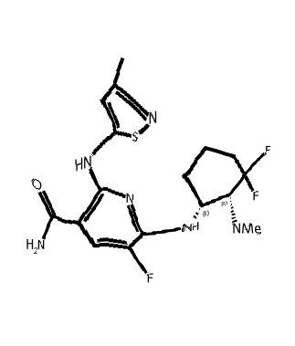 CN[C@@H]1[C@H](Nc2nc(Nc3cc(C)ns3)c(C(N)=O)cc2F)CCCC1(F)F